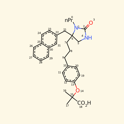 CCCN1C(=O)NCC1(CCCc1ccc(OC(C)(C)C(=O)O)cc1)Cc1ccc2ccccc2c1